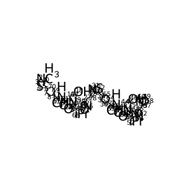 Cc1ncsc1C1C=CC([C@H](C)NC(=O)[C@@H]2C[C@@H](O)CN2C(=O)[C@@H](c2cc(CCc3ncsc3-c3ccc([C@H](C)NC(=O)[C@@H]4C[C@@H](O)CN4C(=O)[C@H](C(C)C)n4cc(-c5ccccn5)cn4)cc3)no2)C(C)C)=CC1